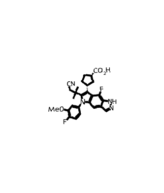 COc1cc(-n2c(C(C)(C)CC#N)c([C@@H]3CC[C@@H](C(=O)O)C3)c3c(F)c4[nH]ncc4cc32)ccc1F